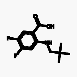 CC(C)(C)CNc1cc(F)c(F)cc1C(=O)O